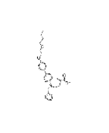 CCCCOCCOc1ccc(-c2ccc3c(c2)C=C(C(=O)OC)CCN3Cc2cccs2)cc1